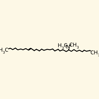 CCCCCCCCC=CCCCCCCCCCCCCCC(CCCCCCCCC)N(C)C